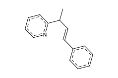 CC(/C=C/c1ccccc1)c1ccccn1